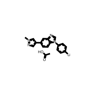 CC(=O)O.[Li][c]1ccc(-n2cnc3cc(-c4cnn(C)c4)ccc32)cc1